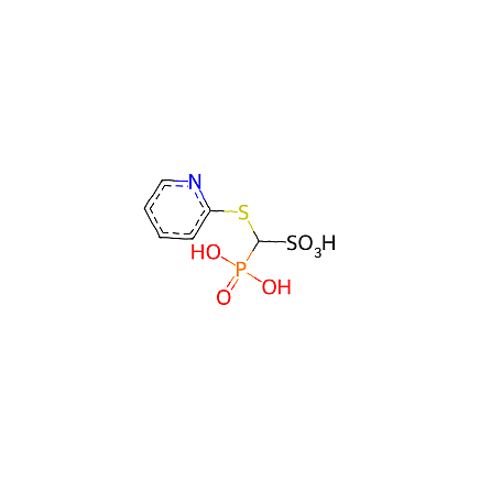 O=P(O)(O)C(Sc1ccccn1)S(=O)(=O)O